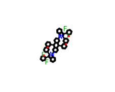 Fc1ccccc1-c1c(-c2ccccc2F)n(-c2ccc3c(-c4ccccc4)c4cc(-n5c(-c6ccccc6F)c(-c6ccccc6F)c6ccccc65)ccc4c(-c4ccccc4)c3c2)c2ccccc12